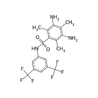 Cc1c(N)c(C)c(S(=O)(=O)Nc2cc(C(F)(F)F)cc(C(F)(F)F)c2)c(C)c1N